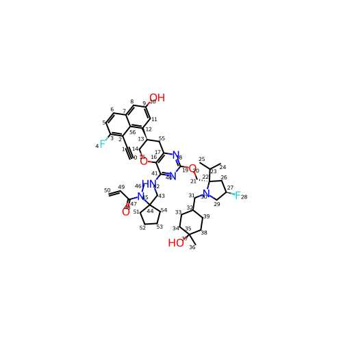 C#Cc1c(F)ccc2cc(O)cc([C@@H]3COc4c(nc(OC[C@]5(C(C)C)C[C@@H](F)CN5CC5CCC(C)(O)CC5)nc4NCC4(N(C)C(=O)C=C)CCCC4)C3)c12